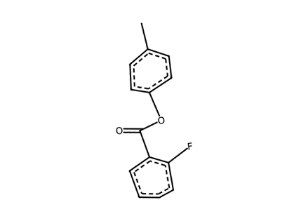 Cc1ccc(OC(=O)c2ccccc2F)cc1